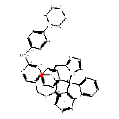 O=C1CN(Cc2nccn2C(c2ccccc2)(c2ccccc2)c2ccccc2)c2nc(Nc3ccc(N4CCOCC4)cc3)ncc2CN1